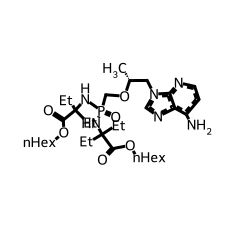 CCCCCCOC(=O)C(CC)(CC)NP(=O)(CO[C@H](C)Cn1cnc2c(N)ccnc21)NC(CC)(CC)C(=O)OCCCCCC